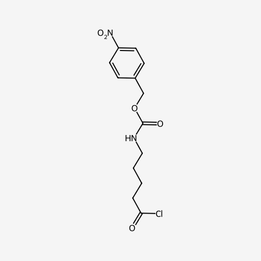 O=C(Cl)CCCCNC(=O)OCc1ccc([N+](=O)[O-])cc1